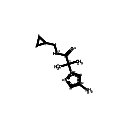 CC(C)(C(=O)NCC1CC1)n1cc(N)cn1